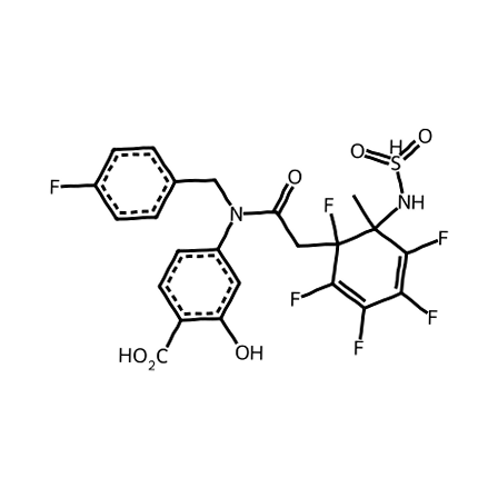 CC1(N[SH](=O)=O)C(F)=C(F)C(F)=C(F)C1(F)CC(=O)N(Cc1ccc(F)cc1)c1ccc(C(=O)O)c(O)c1